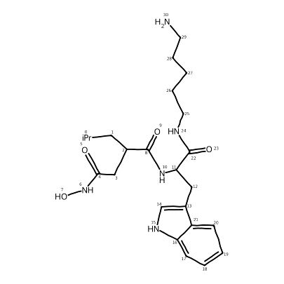 CC(C)CC(CC(=O)NO)C(=O)NC(Cc1c[nH]c2ccccc12)C(=O)NCCCCCN